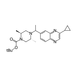 CC(c1ccc2ncc(C3CC3)nc2c1)N1C[C@H](C)N(C(=O)OC(C)(C)C)C[C@H]1C